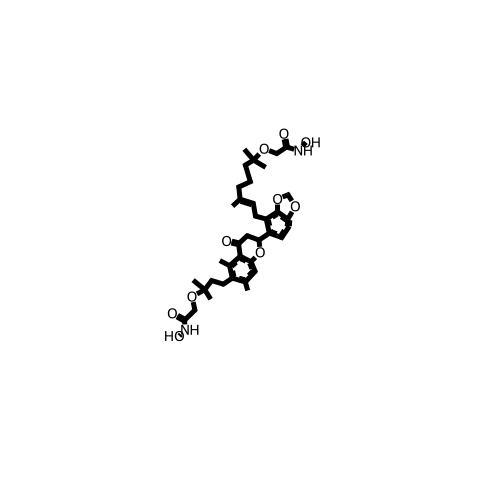 C/C(=C\Cc1c(C2CC(=O)c3c(cc(C)c(CCC(C)(C)OCC(=O)NO)c3C)O2)ccc2c1OCO2)CCCC(C)(C)OCC(=O)NO